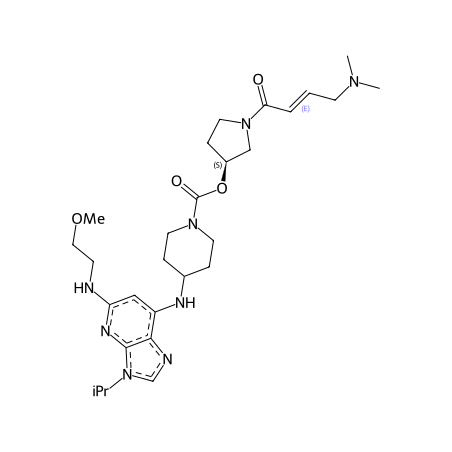 COCCNc1cc(NC2CCN(C(=O)O[C@H]3CCN(C(=O)/C=C/CN(C)C)C3)CC2)c2ncn(C(C)C)c2n1